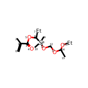 C=C(C)C(=O)OC(CC)[Si](C)(C)OCOC(C)OCC